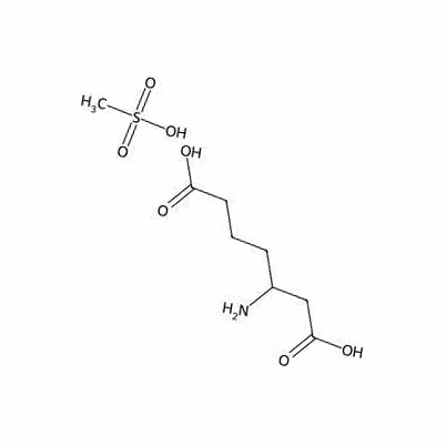 CS(=O)(=O)O.NC(CCCC(=O)O)CC(=O)O